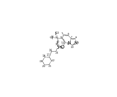 FC(F)(F)c1ccc2cncn2c1OSCCC1CCCCC1